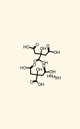 O=C(O)CC(O)(CC(=O)O)C(=O)O.O=C(O)CC(O)(CC(=O)O)C(=O)O.[KH].[NaH]